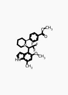 COC(=O)c1ccc([C@@H]2CCCCN2C(c2c(OC)cc(C)c3[nH]ccc23)C(F)(F)F)cc1